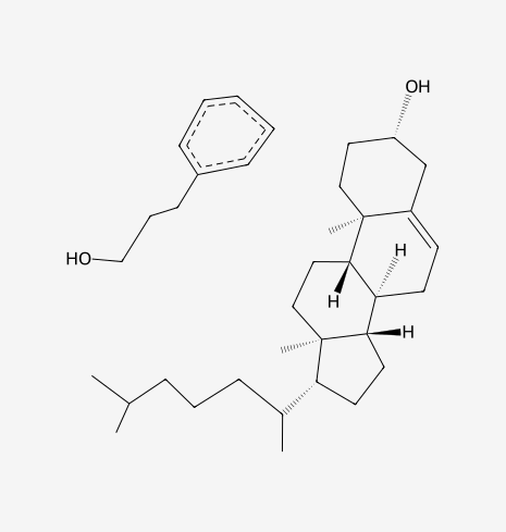 CC(C)CCCC(C)[C@H]1CC[C@H]2[C@@H]3CC=C4C[C@@H](O)CC[C@]4(C)[C@H]3CC[C@]12C.OCCCc1ccccc1